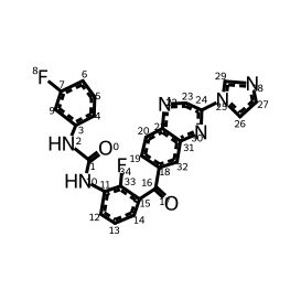 O=C(Nc1cccc(F)c1)Nc1cccc(C(=O)c2ccc3ncc(-n4ccnc4)nc3c2)c1F